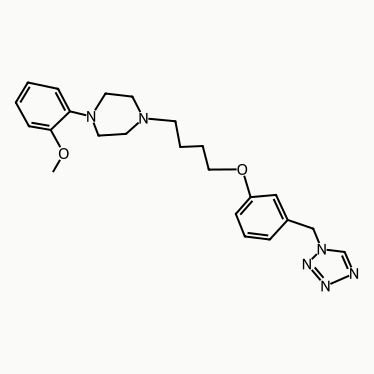 COc1ccccc1N1CCN(CCCCOc2cccc(Cn3cnnn3)c2)CC1